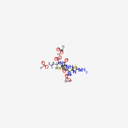 CC(=O)OC/C=C/C1=C(C(=O)OCOC(C)=O)N2C(=O)[C@@H](NC(=O)/C(=N\OC(C)=O)c3csc(N)n3)[C@H]2SC1